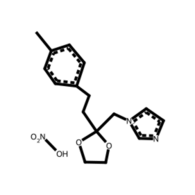 Cc1ccc(CCC2(Cn3ccnc3)OCCO2)cc1.O=[N+]([O-])O